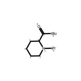 CC(C)N1CCCCC1C(=O)C(C)(C)C